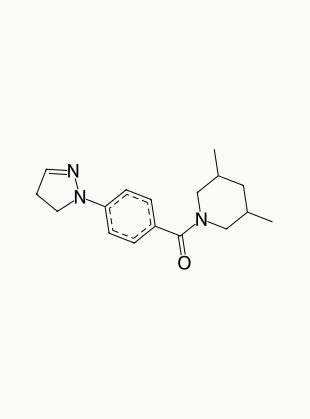 CC1CC(C)CN(C(=O)c2ccc(N3CCC=N3)cc2)C1